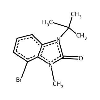 Cn1c(=O)n(C(C)(C)C)c2cccc(Br)c21